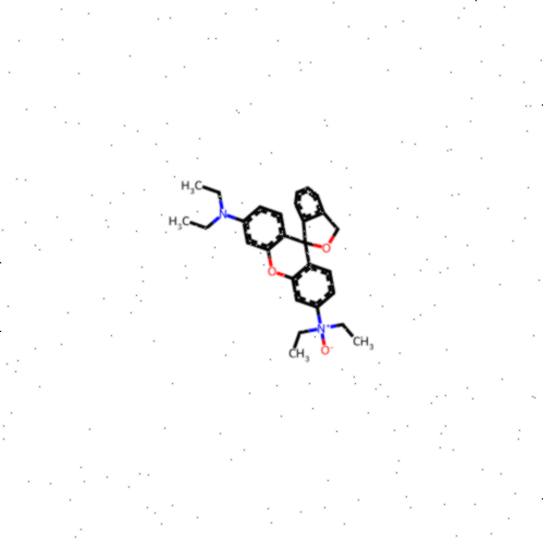 CCN(CC)c1ccc2c(c1)Oc1cc([N+]([O-])(CC)CC)ccc1C21OCc2ccccc21